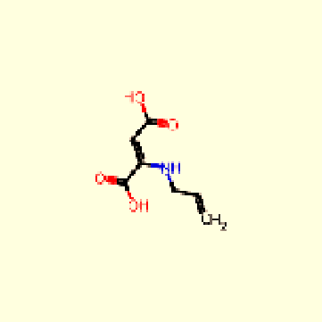 C=CCN/C(=C\C(=O)O)C(=O)O